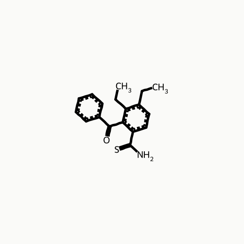 CCc1ccc(C(N)=S)c(C(=O)c2ccccc2)c1CC